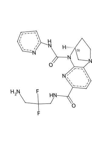 NCC(F)(F)CNC(=O)c1ccc2c(n1)N(C(=O)Nc1ccccn1)[C@H]1CCN2C1